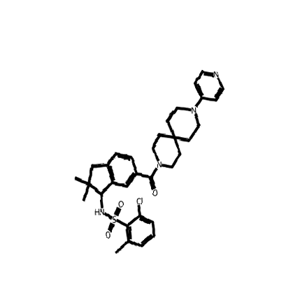 Cc1cccc(Cl)c1S(=O)(=O)NC1c2cc(C(=O)N3CCC4(CC3)CCN(c3ccncc3)CC4)ccc2CC1(C)C